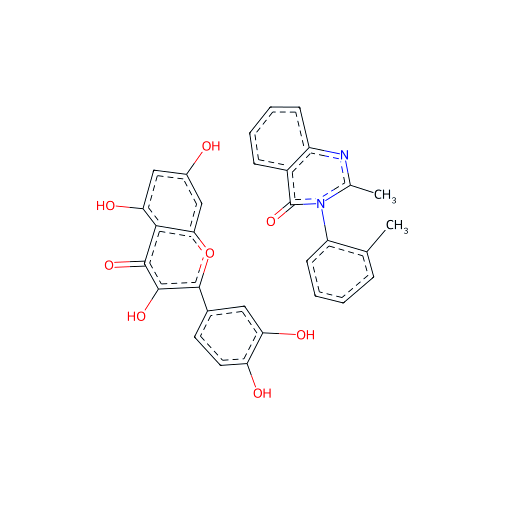 Cc1ccccc1-n1c(C)nc2ccccc2c1=O.O=c1c(O)c(-c2ccc(O)c(O)c2)oc2cc(O)cc(O)c12